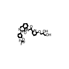 O=C(Nc1cccc2cnn(-c3cccc(OC(F)(F)F)c3)c(=O)c12)c1cccc(OCC(O)CO)n1